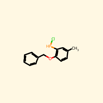 Cc1ccc(OCc2ccccc2)c(PCl)c1